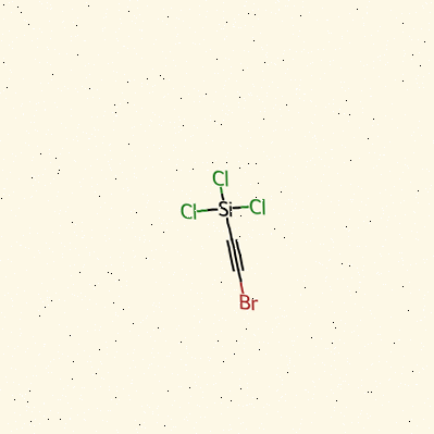 Cl[Si](Cl)(Cl)C#CBr